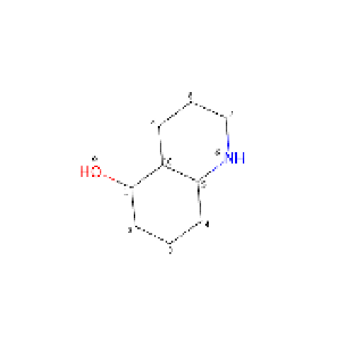 OC1CCCC2NCCCC12